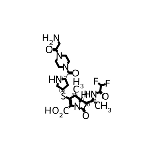 C[C@@H](NC(=O)C(F)F)[C@H]1C(=O)N2C(C(=O)O)=C(S[C@@H]3CN[C@H](C(=O)N4CCN(C(=O)CN)CC4)C3)[C@H](C)[C@H]12